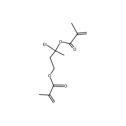 C=C(C)C(=O)OCCC(C)(CC)OC(=O)C(=C)C